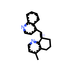 Cc1ccnc2c1CCC/C2=C/c1ccnc2ccccc12